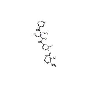 N=C/C(C(=O)Nc1ccc(Oc2ncnc(N)c2Cl)c(F)c1)=C(\Nc1ccccc1)C(F)(F)F